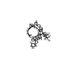 COC(=O)[C@]12CC(=O)[C@@H]3C[C@@H](O[Si](C)(C)C(C)(C)C)CN3C(=O)[C@@H](NC(=O)OC3CCCC3)CCCCC/C=C\[C@@H]1C2